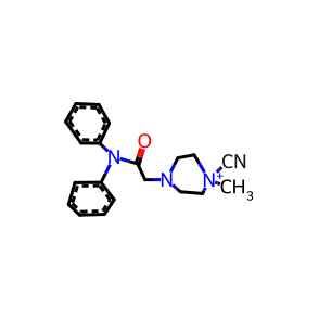 C[N+]1(C#N)CCN(CC(=O)N(c2ccccc2)c2ccccc2)CC1